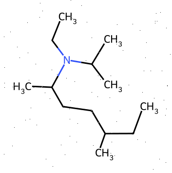 CCC(C)CCC(C)N(CC)C(C)C